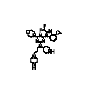 COc1cccc2c1nc(C(F)F)n2-c1nc(N2CCOCC2)nc(N(CCCN2CCNCC2)C2CCNCC2)n1